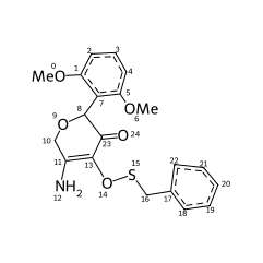 COc1cccc(OC)c1C1OCC(N)=C(OSCc2ccccc2)C1=O